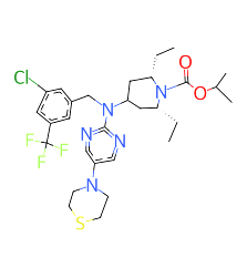 CC[C@@H]1CC(N(Cc2cc(Cl)cc(C(F)(F)F)c2)c2ncc(N3CCSCC3)cn2)C[C@H](CC)N1C(=O)OC(C)C